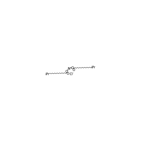 CC(C)CCCCCCCCCCCCCCC(=O)OCC[N+](C)(C)CCOC(=O)CCCCCCCCCCCCCCC(C)C.[Cl-]